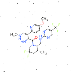 CN/C=C(\C(=N)C(=O)N1CC(F)(F)C[C@@H](C)C1CNc1ncc(C(F)(F)F)cn1)c1ccc(OC)cn1